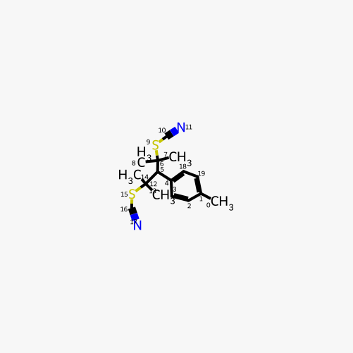 Cc1ccc(C(C(C)(C)SC#N)C(C)(C)SC#N)cc1